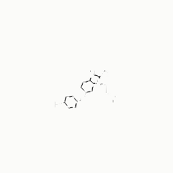 COCCn1c(CCl)nc2ccc(Oc3ccc(F)cc3)cc21